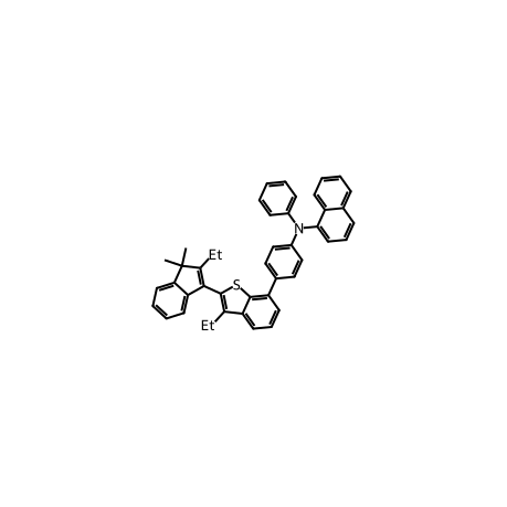 CCC1=C(c2sc3c(-c4ccc(N(c5ccccc5)c5cccc6ccccc56)cc4)cccc3c2CC)c2ccccc2C1(C)C